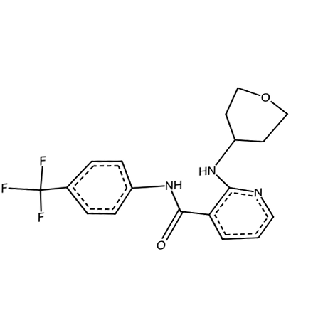 O=C(Nc1ccc(C(F)(F)F)cc1)c1cccnc1NC1CCOCC1